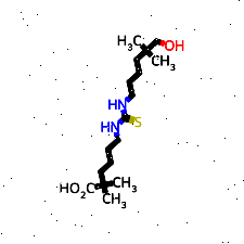 CC(C)(CO)CCCCNC(=S)NCCCCC(C)(C)C(=O)O